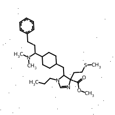 CCCN1C=NC(CCSC)(C(=O)OC)C1CC1CCC(C(CCc2ccccc2)N(C)C)CC1